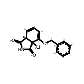 O=C1NC(=O)C2(Cl)C(OCc3ccccc3)=CC=CC12